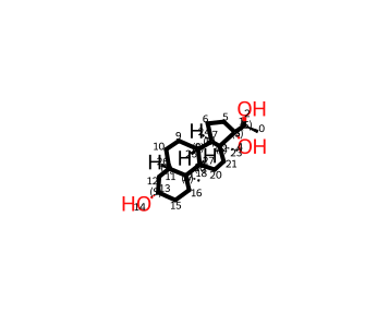 C[C@H](O)[C@]1(O)CC[C@@H]2[C@H]3CC[C@H]4C[C@@H](O)CC[C@]4(C)[C@@H]3CC[C@@]21C